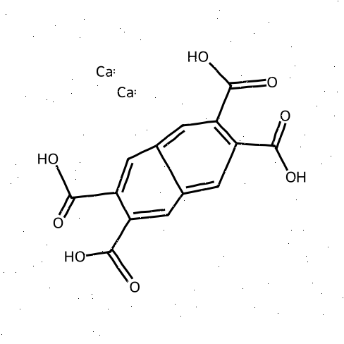 O=C(O)c1cc2cc(C(=O)O)c(C(=O)O)cc2cc1C(=O)O.[Ca].[Ca]